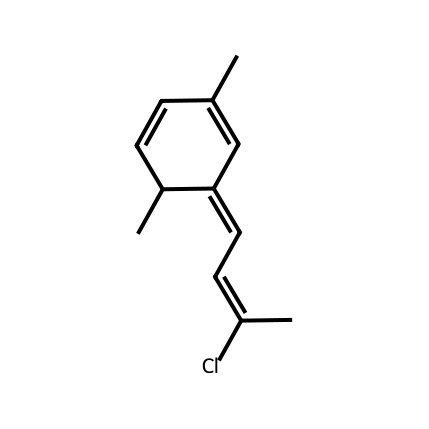 CC1=C/C(=C/C=C(\C)Cl)C(C)C=C1